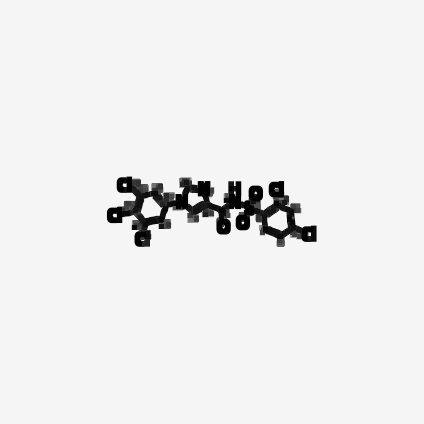 O=C(NS(=O)(=O)c1ccc(Cl)cc1Cl)c1cn(-c2cc(Cl)c(Cl)c(Cl)c2)cn1